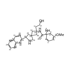 COC1=CC=CC(N)(C(=O)NC2(CCO)CC3(CNC(c4ncc5nccnc5n4)C3)C2)C1